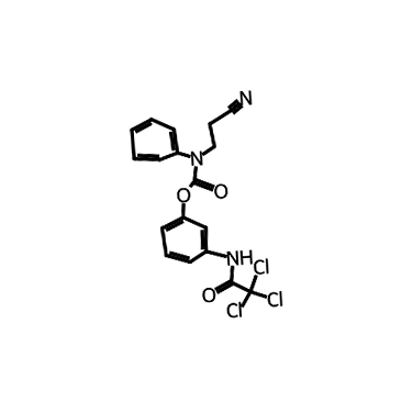 N#CCCN(C(=O)Oc1cccc(NC(=O)C(Cl)(Cl)Cl)c1)c1ccccc1